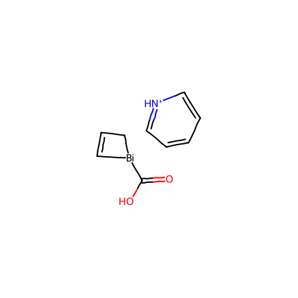 O=[C](O)[Bi]1[CH]=C[CH2]1.c1cc[nH+]cc1